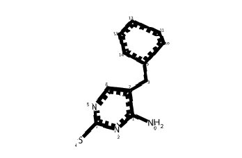 Nc1nc([S])ncc1Cc1ccccc1